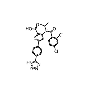 CC(C)N(C(=O)c1ccc(Cl)cc1Cl)c1cc(-c2ccc(-c3nnn[nH]3)cc2)sc1C(=O)O